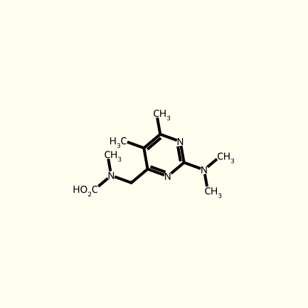 Cc1nc(N(C)C)nc(CN(C)C(=O)O)c1C